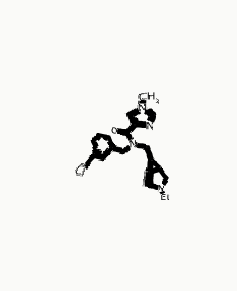 CCN1CC2C(C1)C2CN(Cc1cccc(Cl)c1)C(=O)c1cn(C)cn1